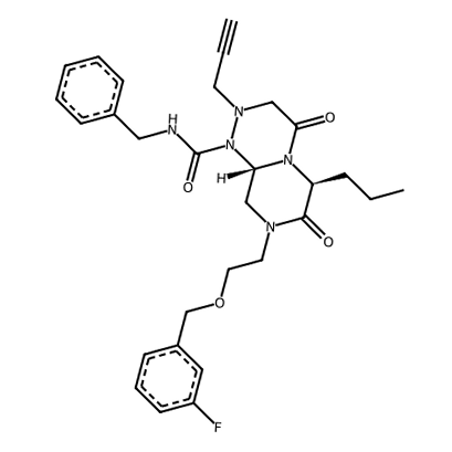 C#CCN1CC(=O)N2[C@@H](CCC)C(=O)N(CCOCc3cccc(F)c3)C[C@@H]2N1C(=O)NCc1ccccc1